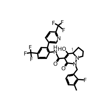 Cc1cccc(CN2C(=O)C(C(=O)Nc3ccc(C(F)(F)F)cc3-c3ccc(C(F)(F)F)nc3)=C(O)[C@@]3(C)CCCN23)c1F